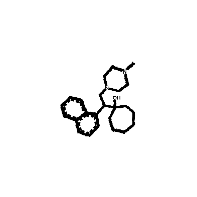 CN1CCN(CC(c2cccc3ccccc23)C2(O)CCCCCC2)CC1